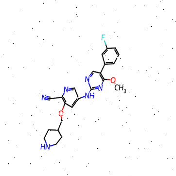 COc1nc(Nc2cnc(C#N)c(OCC3CCNCC3)c2)ncc1-c1cccc(F)c1